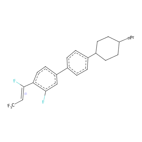 CCCC1CCC(c2ccc(-c3ccc(/C(F)=C/C(F)(F)F)c(F)c3)cc2)CC1